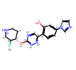 Oc1cc(-n2ccnc2)ccc1-c1cnc(O[C@H]2CCNC[C@@H]2F)nn1